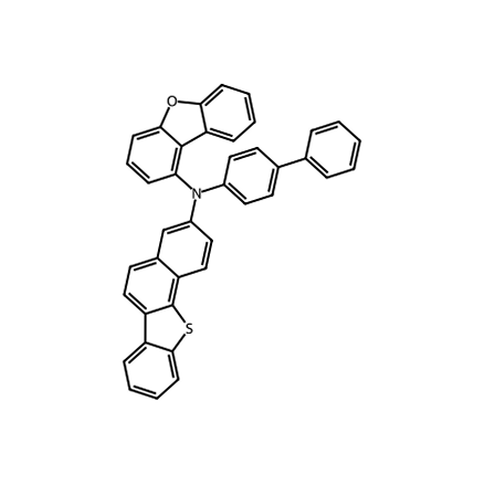 c1ccc(-c2ccc(N(c3ccc4c(ccc5c6ccccc6sc45)c3)c3cccc4oc5ccccc5c34)cc2)cc1